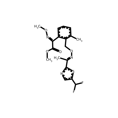 CO/N=C(/C(=O)OC)c1cccc(C)c1CO/N=C(\C)c1ncc(C(F)F)s1